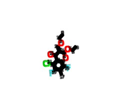 CCOC=C(C(=O)OCC)C(=O)c1cc(F)c(C)c(F)c1Cl